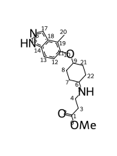 COC(=O)CCNC1CCC(Oc2ccc3[nH]ncc3c2C)CC1